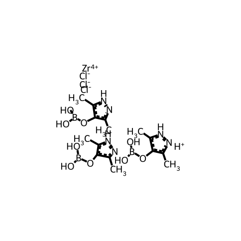 Cc1n[nH]c(C)c1OB(O)O.Cc1n[nH]c(C)c1OB(O)O.Cc1n[nH]c(C)c1OB(O)O.[Cl-].[Cl-].[Cl-].[H+].[Zr+4]